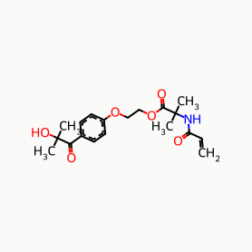 C=CC(=O)NC(C)(C)C(=O)OCCOc1ccc(C(=O)C(C)(C)O)cc1